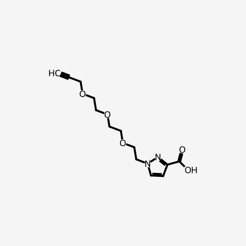 C#CCOCCOCCOCCn1ccc(C(=O)O)n1